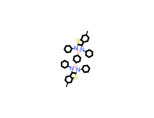 Cc1ccc2c3c(sc2c1)N(c1ccccc1)B(c1ccc(B2N(c4ccccc4)c4sc5cc(C)ccc5c4N2c2ccccc2)cc1)N3c1ccccc1